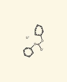 [Li+].[O-]B(Oc1ccccc1)Oc1ccccc1